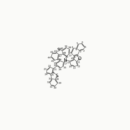 c1ccc2c(c1)ccc1c2oc2cccc(N(c3ccc(-c4cccc5c4sc4ccccc45)cc3)c3cccc4sc5ccccc5c34)c21